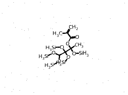 C=C(C)C(=O)OC(C)(O[SiH3])C(O[SiH3])(O[SiH3])C(O[SiH3])O[SiH3]